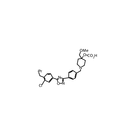 COCC1(OC(=O)O)CCN(Cc2ccc(-c3noc(-c4ccc(CC(C)C)c(Cl)c4)n3)cc2)CC1